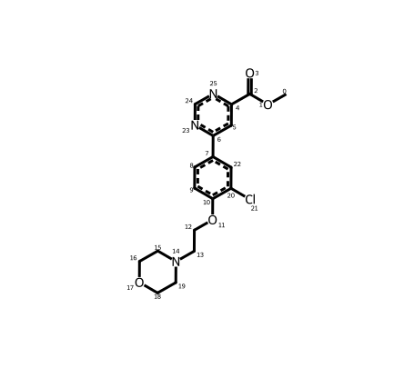 COC(=O)c1cc(-c2ccc(OCCN3CCOCC3)c(Cl)c2)ncn1